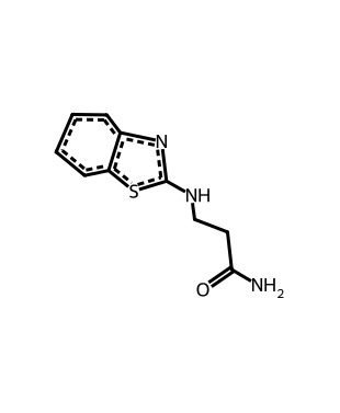 NC(=O)CCNc1nc2ccccc2s1